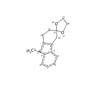 Cn1c2c(c3ccccc31)CC1(CC2)OCCO1